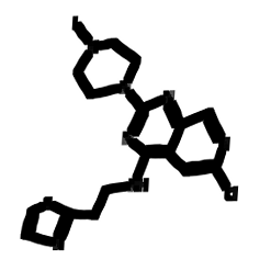 Clc1cc2c(NCCc3nccs3)nc(N3CCN(I)CC3)nc2cn1